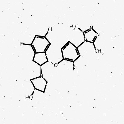 Cc1nnc(C)n1-c1ccc(O[C@H]2c3cc(Cl)cc(F)c3C[C@@H]2N2CC[C@@H](O)C2)c(F)c1